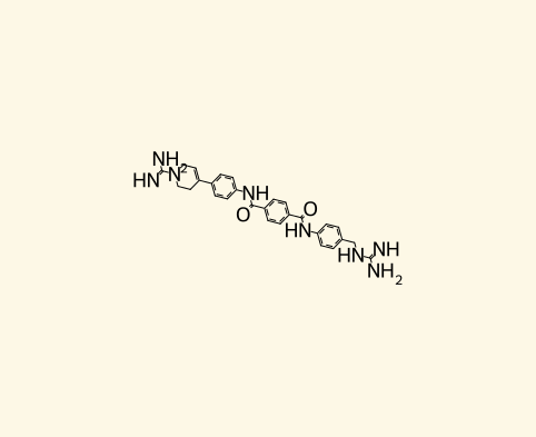 N=C(N)NCc1ccc(NC(=O)c2ccc(C(=O)Nc3ccc(C4=CCN(C(=N)N)CC4)cc3)cc2)cc1